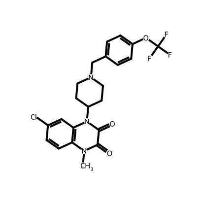 Cn1c(=O)c(=O)n(C2CCN(Cc3ccc(OC(F)(F)F)cc3)CC2)c2cc(Cl)ccc21